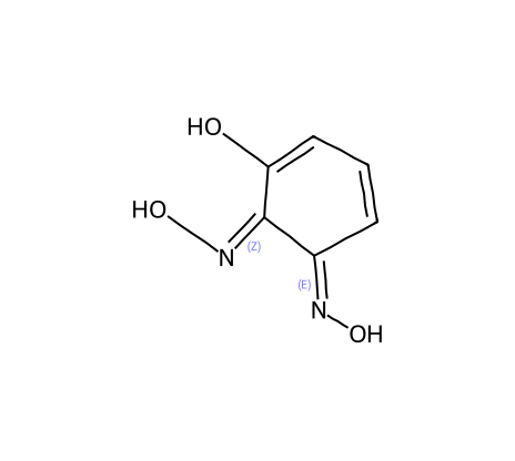 O/N=C1\C(O)=CC=C\C1=N/O